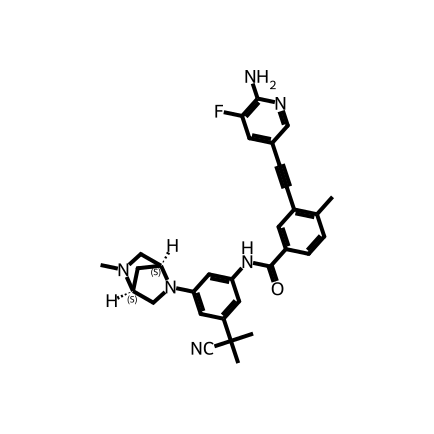 Cc1ccc(C(=O)Nc2cc(N3C[C@@H]4C[C@H]3CN4C)cc(C(C)(C)C#N)c2)cc1C#Cc1cnc(N)c(F)c1